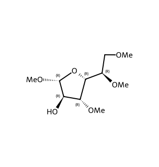 COC[C@@H](OC)[C@H]1O[C@@H](OC)[C@H](O)[C@H]1OC